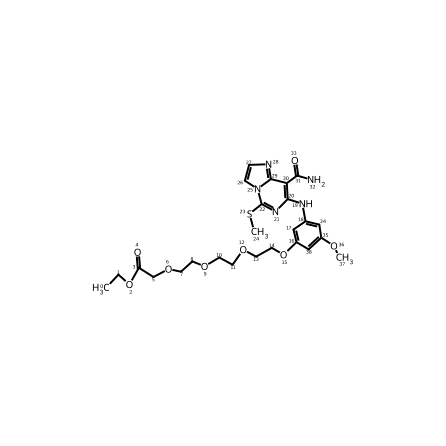 CCOC(=O)COCCOCCOCCOc1cc(Nc2nc(SC)n3ccnc3c2C(N)=O)cc(OC)c1